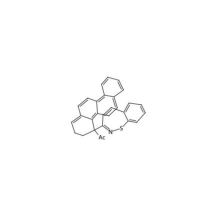 CC(=O)C1(C2=NSc3ccccc3C=C2)CCC=c2ccc3c(c21)CC=c1ccccc1=3